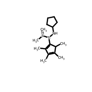 CC1=C(C)C(C)[C]([Ti]([NH]C2CCCC2)[SiH](C)C)=C1C